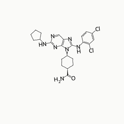 NC(=O)[C@H]1CC[C@@H](n2c(Nc3ccc(Cl)cc3Cl)nc3cnc(NC4CCCC4)nc32)CC1